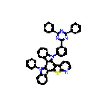 c1ccc(-c2nc(-c3ccccc3)nc(-c3cccc(-n4c5ccccc5c5c6c(c7ccccc7n6-c6ccccc6)c6sc7ncccc7c6c54)c3)n2)cc1